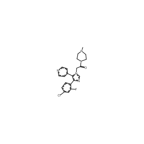 CN1CCN(C(=O)Cn2cnc(-c3ccc(Cl)cc3F)c2-c2ccncc2)CC1